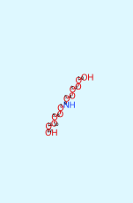 OOOOOONOOOOOO